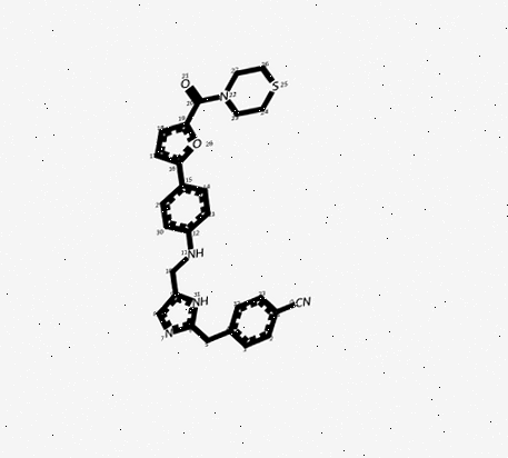 N#Cc1ccc(Cc2ncc(CNc3ccc(-c4ccc(C(=O)N5CCSCC5)o4)cc3)[nH]2)cc1